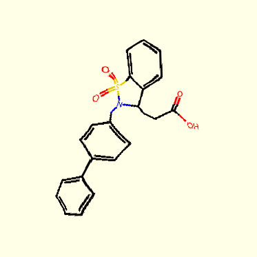 O=C(O)CC1c2ccccc2S(=O)(=O)N1c1ccc(-c2ccccc2)cc1